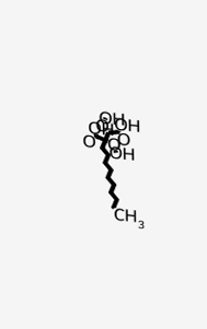 CCCCCCCCCCC(OO)(C(=O)O)C(OO)C(=O)O